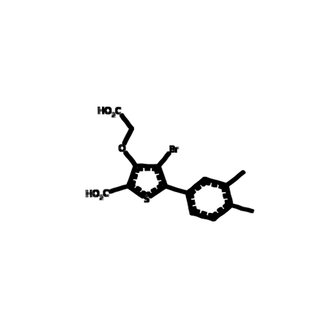 Cc1ccc(-c2sc(C(=O)O)c(OCC(=O)O)c2Br)cc1C